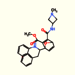 COC(=O)C1=C(C(=O)NC2CN(C)C2)C2C=CC1(C(Cc1ccccc1)Nc1ccccc1)O2